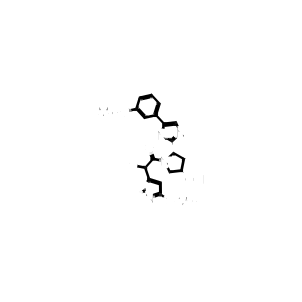 COc1cccc(-c2cnc([C@@H]3C[C@@H](O)CN3C(=O)C(c3cc(OC)no3)C(C)C)[nH]2)c1